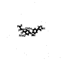 COc1cc(-n2cnc3cc(-c4cn[nH]c4)ccc32)cc(OC)c1C(=O)NC(F)C(F)F